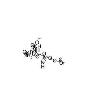 CCc1ccc(NC(=O)[C@H](CCCNC(N)=O)NC(=O)[C@@H](NC(=O)CCC(=O)N(CCOCCOCCC(=O)OC(C)(C)C)C2CCNCC2)C(C)C)cc1